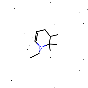 CCN1C=CCC(C)C1(C)C